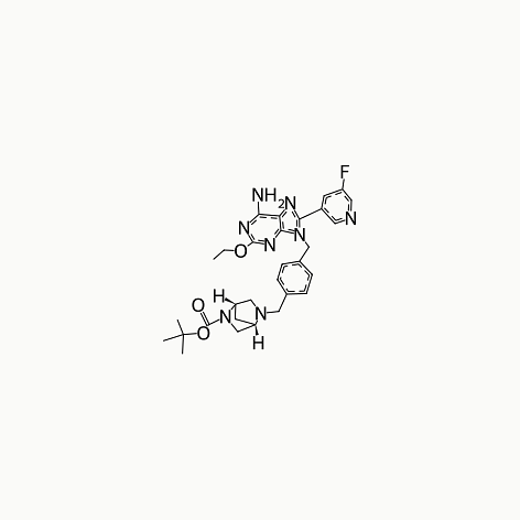 CCOc1nc(N)c2nc(-c3cncc(F)c3)n(Cc3ccc(CN4C[C@@H]5C[C@H]4CN5C(=O)OC(C)(C)C)cc3)c2n1